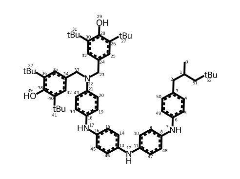 CC(Cc1ccc(Nc2ccc(Nc3ccc(Nc4ccc(N(Cc5cc(C(C)(C)C)c(O)c(C(C)(C)C)c5)Cc5cc(C(C)(C)C)c(O)c(C(C)(C)C)c5)cc4)cc3)cc2)cc1)CC(C)(C)C